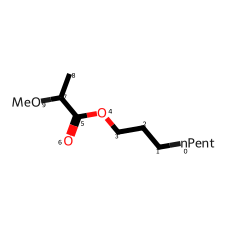 CCCCCCCCOC(=O)C(C)OC